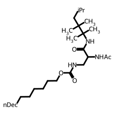 CCCCCCCCCCCCCCCCOC(=O)NCC(NC(C)=O)C(=O)NC(C)(C)C(C)(C)CC(C)C